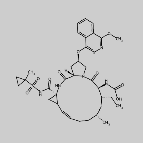 CC[C@@H]1C[C@H](C)CC/C=C\C2C[C@@]2(C(=O)NS(=O)(=O)C2(C)CC2)NC(=O)[C@@H]2C[C@@H](Oc3nnc(OC)c4ccccc34)CN2C(=O)[C@H]1NC(=O)O